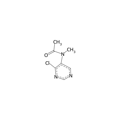 CC(=O)N(C)c1cncnc1Cl